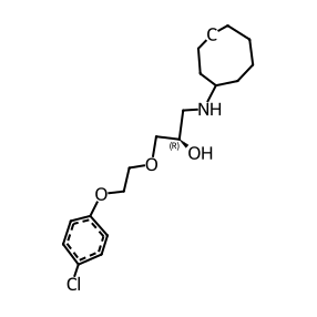 O[C@H](CNC1CCCCCCC1)COCCOc1ccc(Cl)cc1